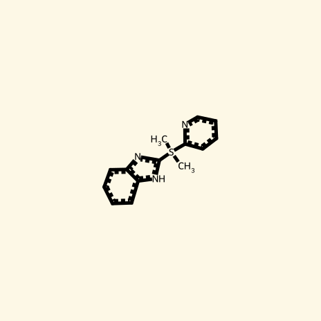 CS(C)(c1ccccn1)c1nc2ccccc2[nH]1